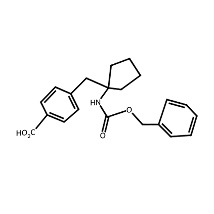 O=C(NC1(Cc2ccc(C(=O)O)cc2)CCCC1)OCc1ccccc1